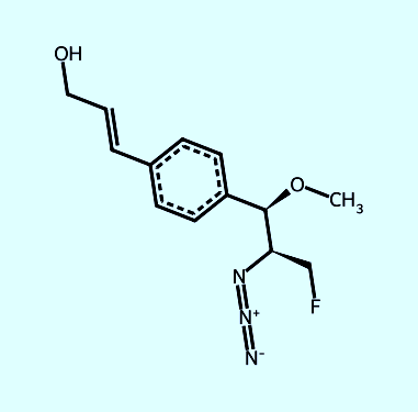 CO[C@H](c1ccc(/C=C/CO)cc1)[C@@H](CF)N=[N+]=[N-]